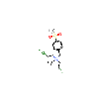 C[N+](CCCl)(CCCl)Cc1ccc(S(C)(=O)=O)cc1.[Cl-]